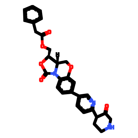 O=C(Cc1ccccc1)OC[C@@H]1OC(=O)N2c3ccc(-c4ccc(C5CCNCC5=O)nc4)cc3OC[C@@H]12